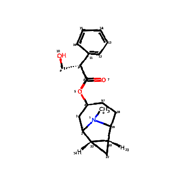 CN1C2CC(OC(=O)[C@H](CO)c3ccccc3)CCC1[C@@H]1C[C@H]21